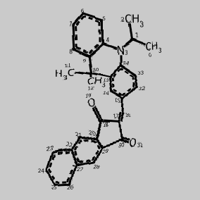 CC(C)N1c2ccccc2C(C)(C)c2cc(C=C3C(=O)c4cc5ccccc5cc4C3=O)ccc21